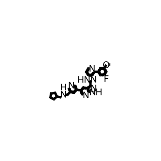 COc1cc(F)cc(-c2nccc3[nH]c(-c4n[nH]c5ncc(-c6cncc(CNCC7CCCC7)c6)cc45)nc23)c1